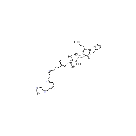 CC/C=C\C/C=C\C/C=C\C/C=C\C/C=C\CCCC(=O)OC[C@@H](O)[C@@H](O)[C@H](O)[C@H](O)COC(=O)[C@H](Cc1cnc[nH]1)NC(=O)CCN